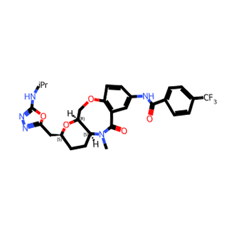 CC(C)Nc1nnc(C[C@@H]2CC[C@H]3[C@H](COc4ccc(NC(=O)c5ccc(C(F)(F)F)cc5)cc4C(=O)N3C)O2)o1